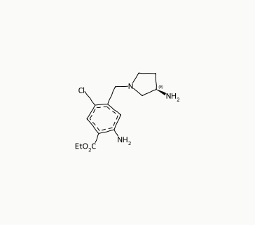 CCOC(=O)c1cc(Cl)c(CN2CC[C@@H](N)C2)cc1N